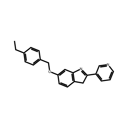 CCc1ccc(COc2ccc3c(c2)N=C(c2cccnc2)C3)cc1